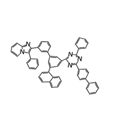 c1ccc(-c2ccc(-c3nc(-c4ccccc4)nc(-c4cc(-c5cccc(-c6nc7ccccn7c6-c6ccccc6)c5)cc(-c5cccc6ccccc56)c4)n3)cc2)cc1